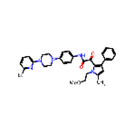 CCc1cccc(N2CCN(c3ccc(NC(=O)C(=O)c4c(-c5ccccc5)cc(C)n4CCOC)cc3)CC2)n1